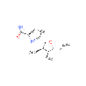 CC(=O)OC[C@H]1O[C@@H](c2nc(C(N)=O)c[se]2)[C@H](OC(C)=O)[C@@H]1OC(C)=O